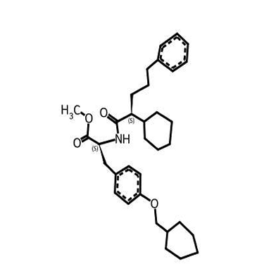 COC(=O)[C@H](Cc1ccc(OCC2CCCCC2)cc1)NC(=O)[C@@H](CCCc1ccccc1)C1CCCCC1